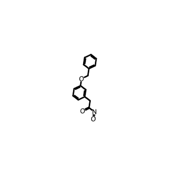 O=NC(=O)Cc1cccc(OCc2ccccc2)c1